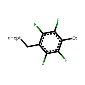 CCCCCCCCc1c(F)c(F)c(CC)c(F)c1F